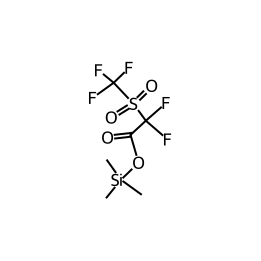 C[Si](C)(C)OC(=O)C(F)(F)S(=O)(=O)C(F)(F)F